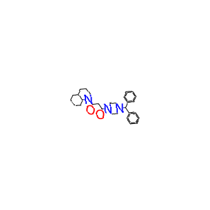 O=C(CC(=O)N1CCCC2CCCCC21)N1CCN(C(c2ccccc2)c2ccccc2)CC1